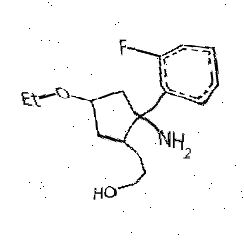 CCOC1CC(CO)C(N)(c2ccccc2F)C1